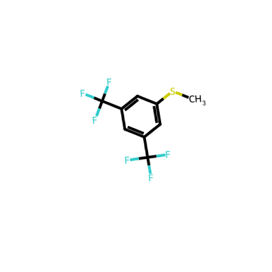 CSc1cc(C(F)(F)F)cc(C(F)(F)F)c1